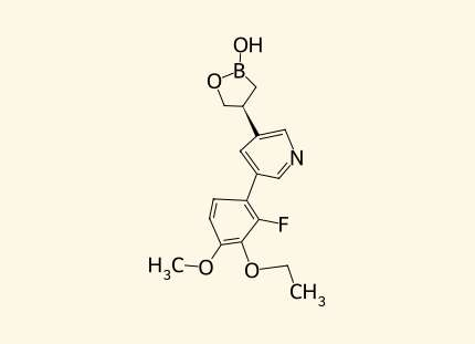 CCOc1c(OC)ccc(-c2cncc([C@H]3COB(O)C3)c2)c1F